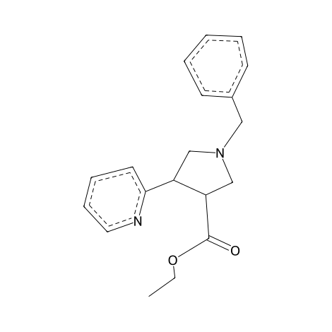 CCOC(=O)C1CN(Cc2ccccc2)CC1c1ccccn1